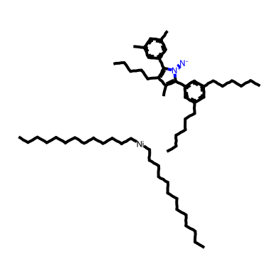 CCCCCCCCCCCC[CH2][Ni][CH2]CCCCCCCCCCCC.CCCCCCc1cc(CCCCCC)cc(C2=C(C)C(CCCCC)=C(c3cc(C)cc(C)c3)[N+]2=[N-])c1